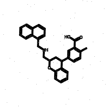 Cc1ccc(C2CC(CNCc3cccc4ccccc34)Oc3ccccc32)cc1C(=O)O